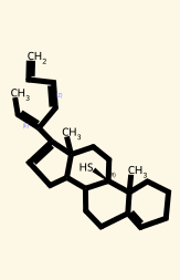 C=C/C=C\C(=C/C)C1=CCC2C3CCC4=CCCCC4(C)[C@@]3(S)CCC12C